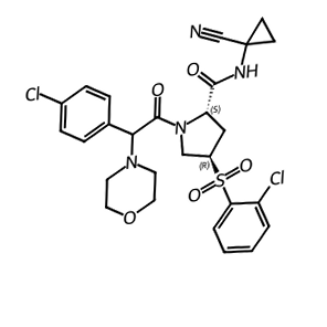 N#CC1(NC(=O)[C@@H]2C[C@@H](S(=O)(=O)c3ccccc3Cl)CN2C(=O)C(c2ccc(Cl)cc2)N2CCOCC2)CC1